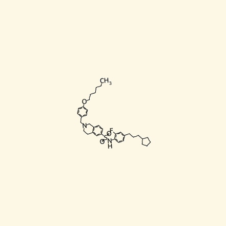 CCCCCCOc1ccc(CN2CCc3cc(S(=O)(=O)Nc4ccc(CCCC5CCCC5)cc4F)ccc3C2)cc1